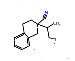 CC(CI)C1(C#N)CCc2ccccc2C1